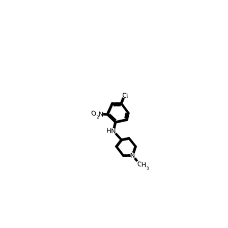 CN1CCC(Nc2ccc(Cl)cc2[N+](=O)[O-])CC1